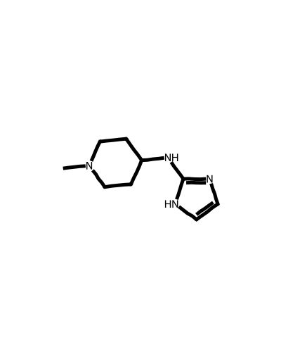 CN1CCC(Nc2ncc[nH]2)CC1